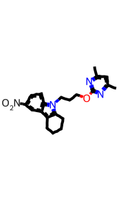 Cc1cc(C)nc(OCCCn2c3c(c4cc([N+](=O)[O-])ccc42)CCCC3)n1